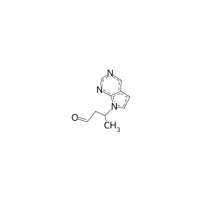 CC(CC=O)n1ccc2cncnc21